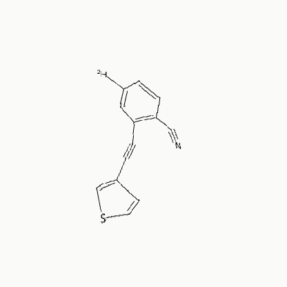 [2H]c1ccc(C#N)c(C#Cc2ccsc2)c1